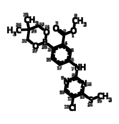 COC(=O)c1cc(Nc2ncc(Cl)c(SC)n2)ccc1B1OCC(C)(C)CO1